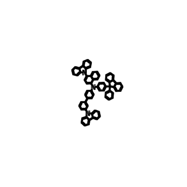 c1ccc(C2(c3ccc(N(c4ccc(-c5cccc(-n6c7ccccc7c7ccccc76)c5)cc4)c4ccc(-n5c6ccccc6c6ccccc65)c5ccccc45)cc3)c3ccccc3-c3ccccc32)cc1